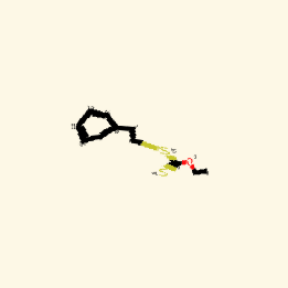 CCOC(=S)SCCc1ccccc1